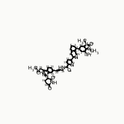 CC(C)c1cc(-c2cccc3cc(-c4ccc(C(=O)NCC#Cc5ccc6c(CN(C)C)nn(C7CCC(=O)NC7=O)c6c5)nc4)ncc23)cc2c1n(C)c(=O)n2C